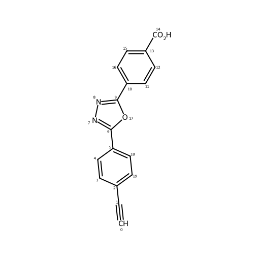 C#Cc1ccc(-c2nnc(-c3ccc(C(=O)O)cc3)o2)cc1